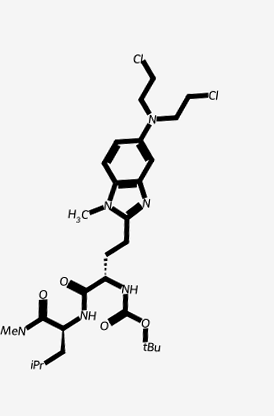 CNC(=O)[C@H](CC(C)C)NC(=O)[C@H](CCc1nc2cc(N(CCCl)CCCl)ccc2n1C)NC(=O)OC(C)(C)C